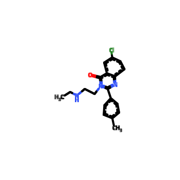 CCNCCn1c(-c2ccc(C)cc2)nc2ccc(Cl)cc2c1=O